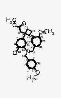 COC(=O)CC1(c2ccc(Cl)c(N(Cc3ccc(OC)cc3)Cc3ccc(OC)cc3)c2)CCC1